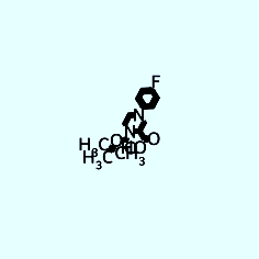 CC(C)(C)OC(=O)N1CCN(c2ccc(F)cc2)CC1C(=O)O